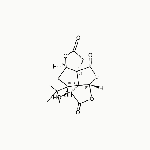 CC(C)(C)[C@]1(O)C[C@H]2OC(=O)C[C@@]23C(=O)O[C@@H]2OC(=O)C(O)[C@]213